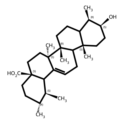 C[C@@H]1CC[C@]2(C(=O)O)CC[C@]3(C)C(=CCC4[C@@]5(C)CC[C@H](O)[C@H](C)C5CC[C@]43C)C2[C@H]1C